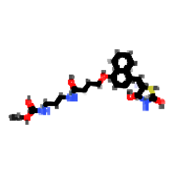 CC(C)(C)OC(=O)NCCCNC(=O)CCCOc1ccc(/C=C2/SC(=O)NC2=O)c2ccccc12